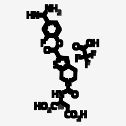 N=C(N)c1ccc(OC(=O)c2cc3c(s2)CN(C(=O)N[C@@H](CC(=O)O)C(=O)O)CC3)c(F)c1.O=C(O)C(F)(F)F